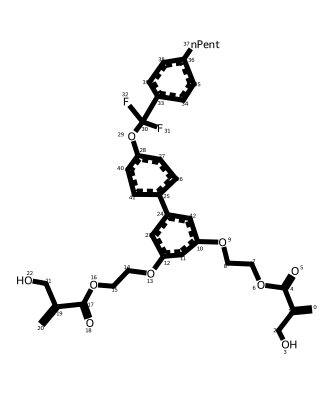 C=C(CO)C(=O)OCCOc1cc(OCCOC(=O)C(=C)CO)cc(-c2ccc(OC(F)(F)c3ccc(CCCCC)cc3)cc2)c1